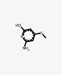 CSc1cc(N)nc(O)c1